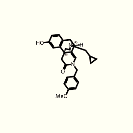 COc1ccc(CN2C=C3[C@H]4Cc5ccc(O)cc5[C@@]3(CCN4CC3CC3)CC2=O)cc1